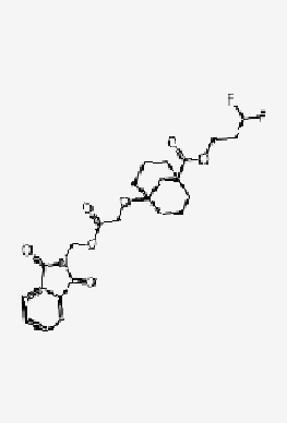 O=C(COC12CCCC(C(=O)OCCC(F)F)(CCC1)C2)OCN1C(=O)c2ccccc2C1=O